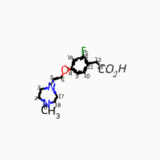 CN1CCN(CCOc2ccc(CC(=O)O)c(F)c2)CC1